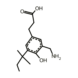 CCC(C)(C)c1cc(CCC(=O)O)cc(CN)c1O